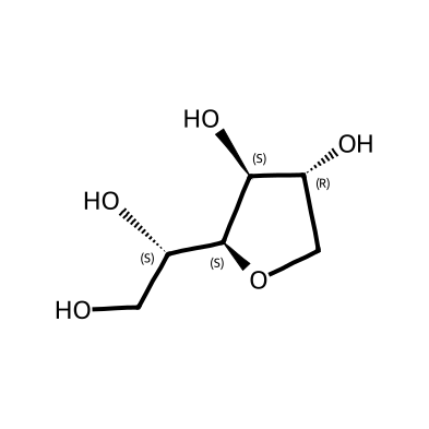 OC[C@H](O)[C@@H]1OC[C@@H](O)[C@@H]1O